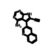 C#Cc1[nH]c2ncnc(N)c2c1-c1cnc2ccccc2c1